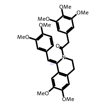 COc1ccc(/C=C2/c3cc(OC)c(OC)cc3CCN2C(=O)Cc2cc(OC)c(OC)c(OC)c2)cc1OC